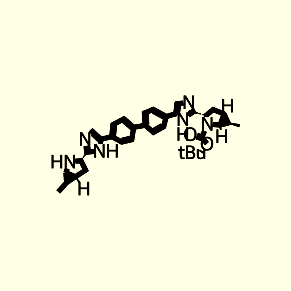 CC1=C2N[C@H](c3ncc(-c4ccc(-c5ccc(-c6cnc([C@@H]7C[C@H]8[C@@H](C)[C@H]8N7C(=O)OC(C)(C)C)[nH]6)cc5)cc4)[nH]3)C[C@@H]12